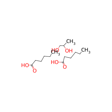 CC(O)CO.CCCCCC(=O)O.CCCCCC(=O)O